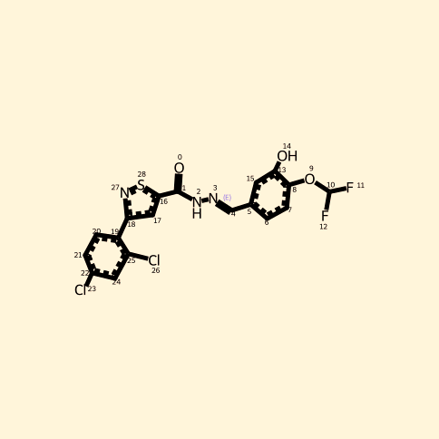 O=C(N/N=C/c1ccc(OC(F)F)c(O)c1)c1cc(-c2ccc(Cl)cc2Cl)ns1